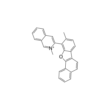 Cc1ccc2c(oc3c4ccccc4ccc23)c1-c1cc2ccccc2c[n+]1C